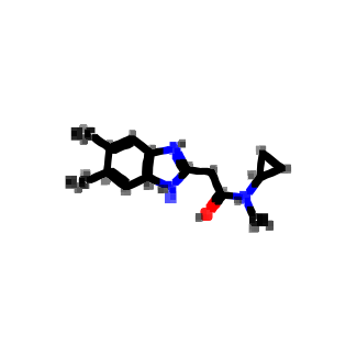 Cc1cc2nc(CC(=O)N(C)C3CC3)[nH]c2cc1C